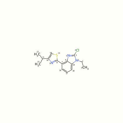 CCn1c(Cl)nc2c(-c3nc(C(C)C)cs3)cccc21